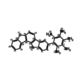 Bc1c(B)c(B)c(-c2ccc3[nH]c4c(ccc5oc6ccccc6c54)c3c2)c(B)c1B